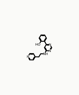 Oc1ccccc1-c1cc(NCCc2ccncc2)ncn1